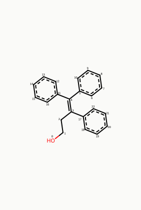 OCCC(=C(c1ccccc1)c1ccccc1)c1ccccc1